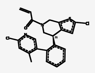 C=CC(=O)N1Cc2sc(Cl)cc2[C@@H](c2ccccc2-c2cnc(Cl)cc2C)C1